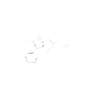 COc1ccc2c(-c3ccccc3)c(C)[nH]c2c1